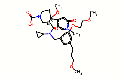 COCCCc1cc(CN(C(=O)[C@H]2CN(C(=O)O)CC[C@]2(OC)c2ccn(C)c(=O)c2)C2CC2)cc(OCCOC)c1